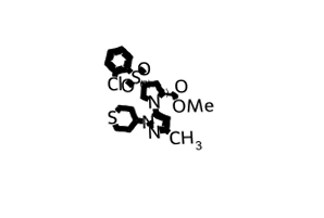 COC(=O)[C@@H]1C[C@@H](S(=O)(=O)c2ccccc2Cl)CN1c1cc(C)nn1C1CCSCC1